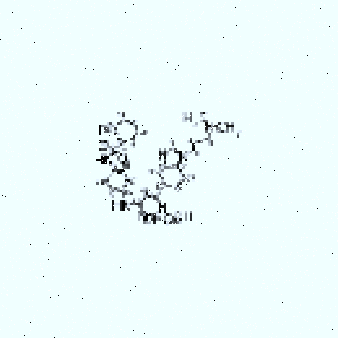 CN(C)CCCn1cnc2cc(-c3cc(Nc4ccc(NS(=O)(=O)c5ccccc5F)cc4)ncn3)ccc21.O=CO